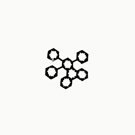 c1ccc(-c2cc(-c3ccccn3)c(-c3ccccc3)c3c4ccccc4c4ccccc4c23)cc1